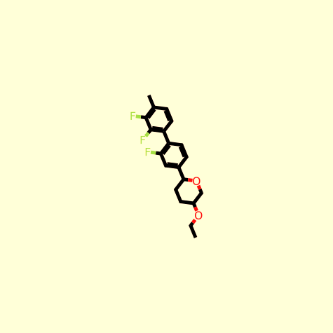 CCOC1CCC(c2ccc(-c3ccc(C)c(F)c3F)c(F)c2)OC1